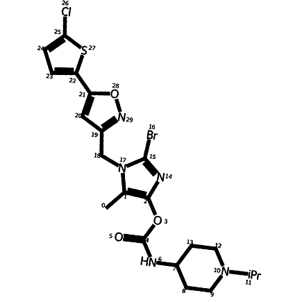 Cc1c(OC(=O)NC2CCN(C(C)C)CC2)nc(Br)n1Cc1cc(-c2ccc(Cl)s2)on1